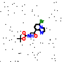 CC(C)(C)OC(=O)NCC(=O)c1ccc(Br)n2ccnc12